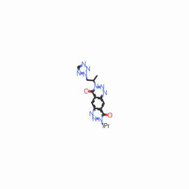 CC(C)n1nnc2cc3c(=O)n(C(C)Cn4ncnn4)nnc3cc2c1=O